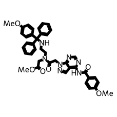 COC(=O)CN(CCNC(c1ccccc1)(c1ccccc1)c1ccc(OC)cc1)C(=O)Cn1ncc2c(NC(=O)c3ccc(OC)cc3)ncnc21